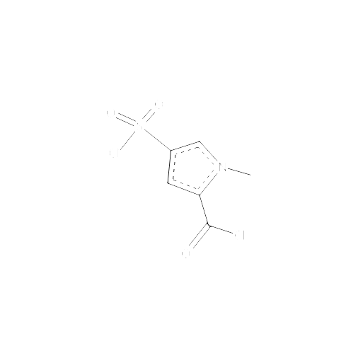 Cn1cc(S(=O)(=O)Cl)cc1C(=O)Cl